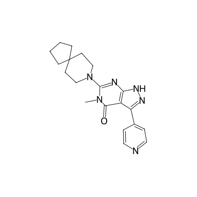 Cn1c(N2CCC3(CCCC3)CC2)nc2[nH]nc(-c3ccncc3)c2c1=O